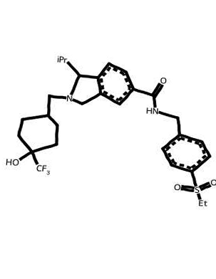 CCS(=O)(=O)c1ccc(CNC(=O)c2ccc3c(c2)CN(CC2CCC(O)(C(F)(F)F)CC2)C3C(C)C)cc1